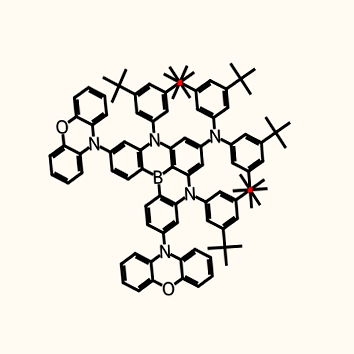 CC(C)(C)c1cc(N(c2cc(C(C)(C)C)cc(C(C)(C)C)c2)c2cc3c4c(c2)N(c2cc(C(C)(C)C)cc(C(C)(C)C)c2)c2cc(N5c6ccccc6Oc6ccccc65)ccc2B4c2ccc(N4c5ccccc5Oc5ccccc54)cc2N3c2cc(C(C)(C)C)cc(C(C)(C)C)c2)cc(C(C)(C)C)c1